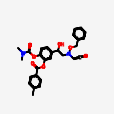 Cc1ccc(C(=O)Oc2cc(C(O)CN(C=C=O)OCc3ccccc3)ccc2OC(=O)N(C)C)cc1